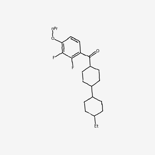 CCCOc1ccc(C(=O)C2CCC(C3CCC(CC)CC3)CC2)c(F)c1F